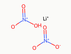 O=[N+]([O-])O.O=[N+]([O-])[O-].[Li+]